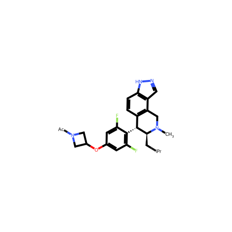 CC(=O)N1CC(Oc2cc(F)c([C@@H]3c4ccc5[nH]ncc5c4CN(C)[C@H]3CC(C)C)c(F)c2)C1